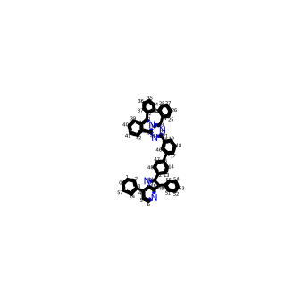 c1ccc(-c2ccnc3c2N=C(c2ccc(-c4cccc(-c5nc(-c6ccccc6)n6c(-c7ccccc7)c7ccccc7c6n5)c4)cc2)C3c2ccccc2)cc1